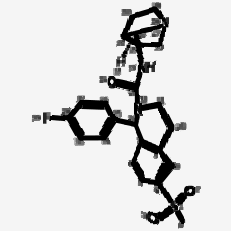 CS(=O)(=O)c1ccc2c(c1)CCN(C(=O)N[C@@H]1CN3CCC1CC3)C2c1ccc(F)cc1